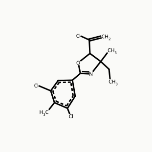 C=C(Cl)C1OC(c2cc(Cl)c(C)c(Cl)c2)=NC1(C)CC